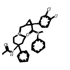 CC(=O)NC1(c2ccccc2)CCN(CC2CC2(C(=O)N(C)c2ccccc2)c2ccc(Cl)c(Cl)c2)CC1